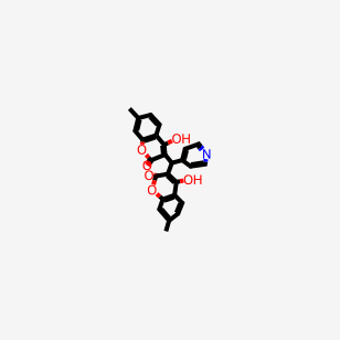 Cc1ccc2c(O)c(C(c3ccncc3)c3c(O)c4ccc(C)cc4oc3=O)c(=O)oc2c1